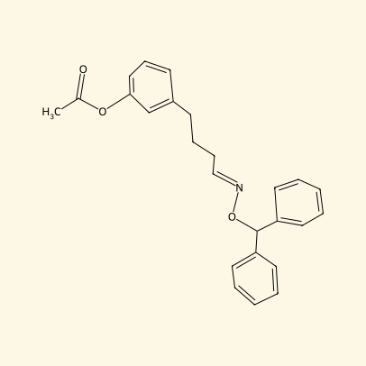 CC(=O)Oc1cccc(CCCC=NOC(c2ccccc2)c2ccccc2)c1